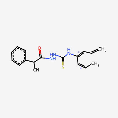 C=C/C=C(\C=C/C)NC(=S)NNC(=O)C(C#N)c1ccccc1